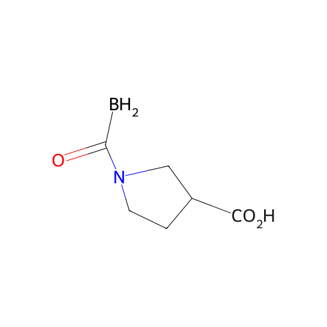 BC(=O)N1CCC(C(=O)O)C1